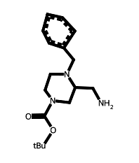 CC(C)(C)OC(=O)N1CCN(Cc2ccccc2)C(CN)C1